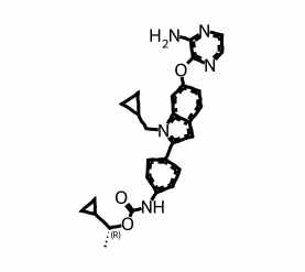 C[C@@H](OC(=O)Nc1ccc(-c2cc3ccc(Oc4nccnc4N)cc3n2CC2CC2)cc1)C1CC1